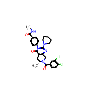 CNC(=O)c1ccc(-n2c(N3CCCCC3)nc3c(c2=O)C[C@@H](C)N(C(=O)c2ccc(Cl)c(Cl)c2)C3)cc1